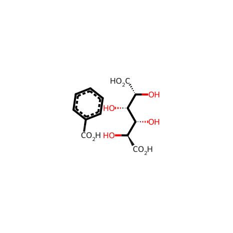 O=C(O)[C@@H](O)[C@@H](O)[C@H](O)[C@@H](O)C(=O)O.O=C(O)c1ccccc1